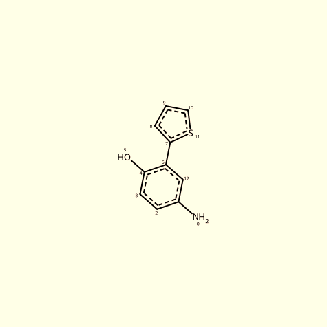 Nc1ccc(O)c(-c2cccs2)c1